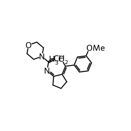 C=C(/N=C1/CCC/C1=C(/C)c1cccc(OC)c1)N1CCOCC1